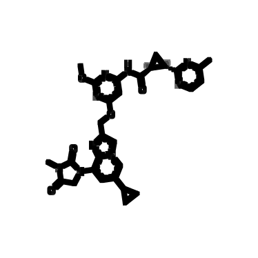 COc1nc(NC(=O)[C@H]2C[C@@H]2c2nccc(C)n2)cc(OCc2cn3cc(C4CC4)cc(N4CC(=O)N(C)C4=O)c3n2)n1